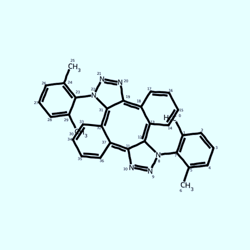 Cc1cccc(C)c1-n1nnc2/c1=c1/cccc/c1=c1\nnn(-c3c(C)cccc3C)\c1=c1/cccc/c1=2